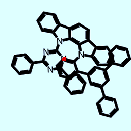 c1ccc(-c2cc(-c3ccccc3)cc(-c3ccccc3-n3c4ccccc4c4ccc5c6ccccc6n(-c6nc(-c7ccccc7)nc(-c7ccccc7)n6)c5c43)c2)cc1